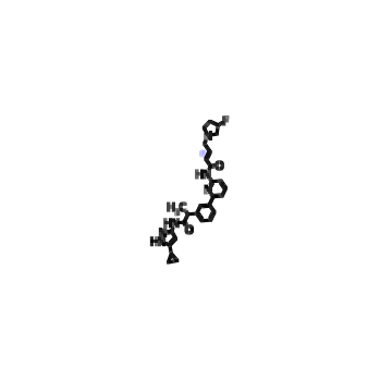 CC(C(=O)Nc1cc(C2CC2)[nH]n1)c1cccc(-c2cccc(NC(=O)/C=C/CN3CCC(F)C3)n2)c1